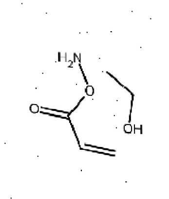 C=CC(=O)ON.[CH2]CO